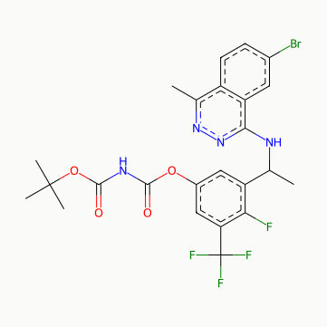 Cc1nnc(NC(C)c2cc(OC(=O)NC(=O)OC(C)(C)C)cc(C(F)(F)F)c2F)c2cc(Br)ccc12